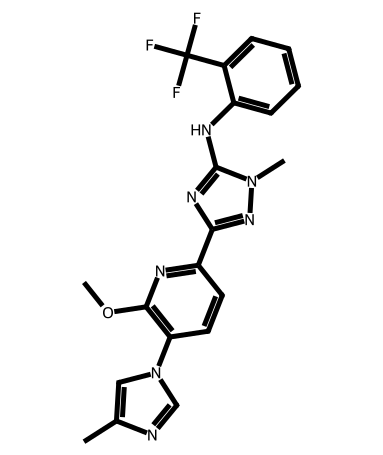 COc1nc(-c2nc(Nc3ccccc3C(F)(F)F)n(C)n2)ccc1-n1cnc(C)c1